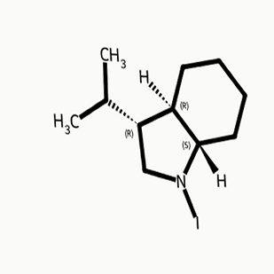 CC(C)[C@H]1CN(I)[C@H]2CCCC[C@H]12